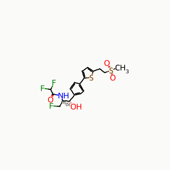 CS(=O)(=O)CCc1ccc(-c2ccc([C@H](O)[C@@H](CF)NC(=O)C(F)F)cc2)s1